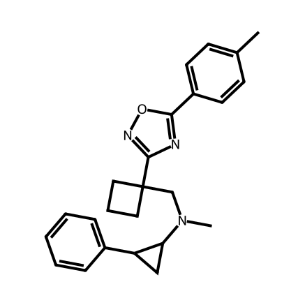 Cc1ccc(-c2nc(C3(CN(C)C4CC4c4ccccc4)CCC3)no2)cc1